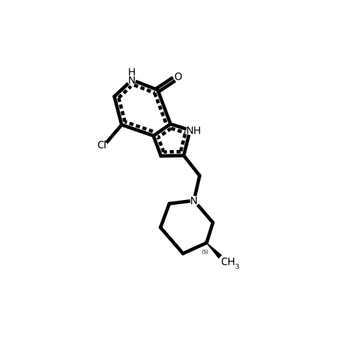 C[C@H]1CCCN(Cc2cc3c(Cl)c[nH]c(=O)c3[nH]2)C1